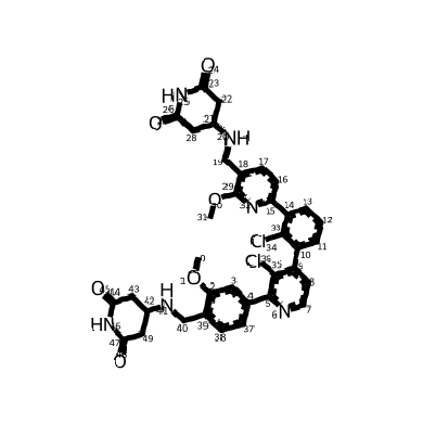 COc1cc(-c2nccc(-c3cccc(-c4ccc(CNC5CC(=O)NC(=O)C5)c(OC)n4)c3Cl)c2Cl)ccc1CNC1CC(=O)NC(=O)C1